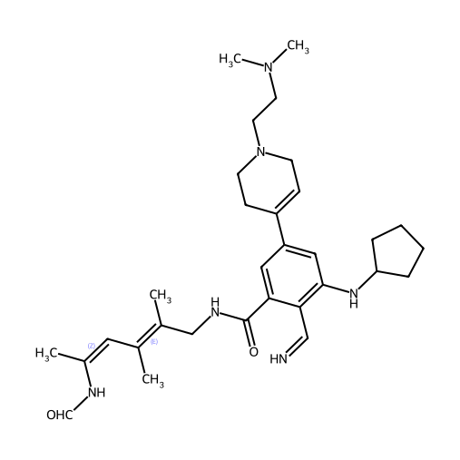 C/C(=C/C(C)=C(\C)CNC(=O)c1cc(C2=CCN(CCN(C)C)CC2)cc(NC2CCCC2)c1C=N)NC=O